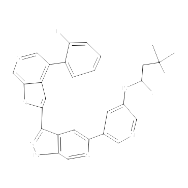 CC(C)(C)CC(O)Nc1cncc(-c2cc3c(-c4cc5c(-c6ccccc6F)cncc5[nH]4)n[nH]c3cn2)c1